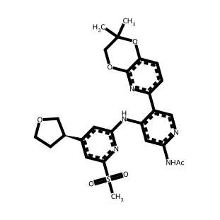 CC(=O)Nc1cc(Nc2cc([C@H]3CCOC3)cc(S(C)(=O)=O)n2)c(-c2ccc3c(n2)OCC(C)(C)O3)cn1